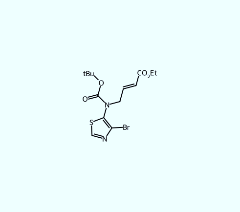 CCOC(=O)/C=C/CN(C(=O)OC(C)(C)C)c1scnc1Br